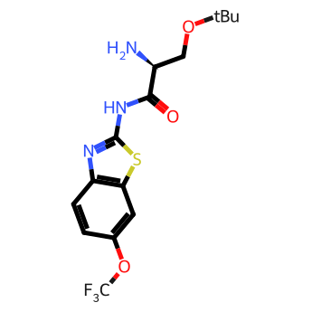 CC(C)(C)OC[C@H](N)C(=O)Nc1nc2ccc(OC(F)(F)F)cc2s1